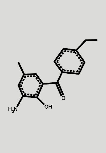 CCc1ccc(C(=O)c2cc(C)cc(N)c2O)cc1